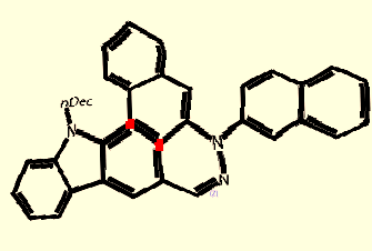 CCCCCCCCCCn1c2ccccc2c2cc(/C=N\N(c3ccc4ccccc4c3)c3ccc4ccccc4c3)ccc21